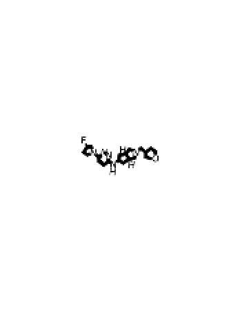 F[C@@H]1CCN(c2ccc(NC3C[C@@H]4CN(CC5CCOCC5)C[C@@H]4C3)nn2)C1